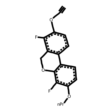 C#COc1ccc2c(c1F)COc1c-2ccc(OCCC)c1F